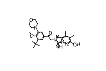 COc1c(N2CCOCC2)cc(C(=O)Cn2nc3c(C)c(C)c(O)nn3c2=N)cc1C(C)(C)C